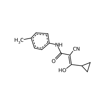 Cc1ccc(NC(=O)/C(C#N)=C(\O)C2CC2)cc1